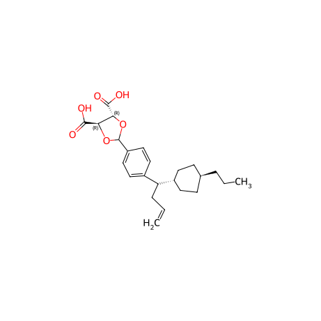 C=CCC(c1ccc(C2O[C@@H](C(=O)O)[C@H](C(=O)O)O2)cc1)[C@H]1CC[C@H](CCC)CC1